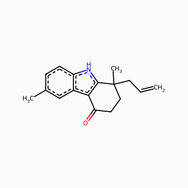 C=CCC1(C)CCC(=O)c2c1[nH]c1ccc(C)cc21